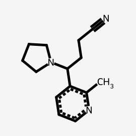 Cc1ncccc1C(CCC#N)N1CCCC1